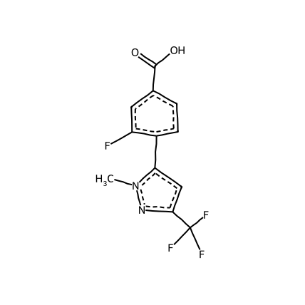 Cn1nc(C(F)(F)F)cc1-c1ccc(C(=O)O)cc1F